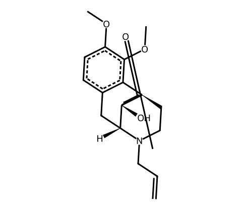 C=CCN1CC[C@]23CC(=O)CC[C@@]2(O)[C@H]1Cc1ccc(OC)c(OC)c13